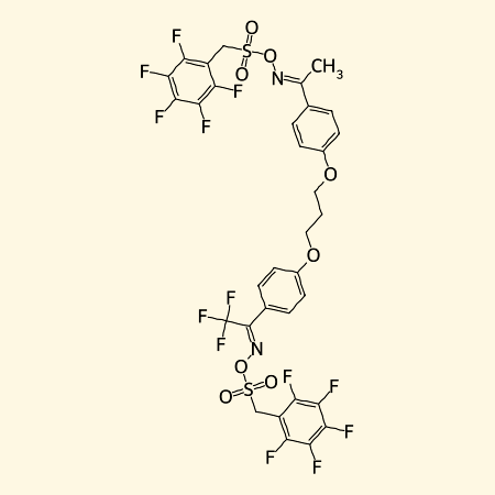 C/C(=N\OS(=O)(=O)Cc1c(F)c(F)c(F)c(F)c1F)c1ccc(OCCCOc2ccc(/C(=N/OS(=O)(=O)Cc3c(F)c(F)c(F)c(F)c3F)C(F)(F)F)cc2)cc1